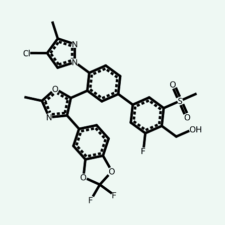 Cc1nc(-c2ccc3c(c2)OC(F)(F)O3)c(-c2cc(-c3cc(F)c(CO)c(S(C)(=O)=O)c3)ccc2-n2cc(Cl)c(C)n2)o1